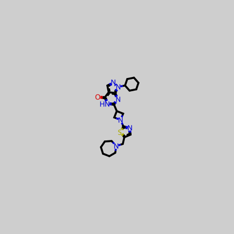 O=c1[nH]c(C2CN(c3ncc(CN4CCCCCC4)s3)C2)nc2c1cnn2C1CCCCC1